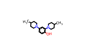 CC1CCN(c2ccc(O)c(N3CCC(C)CC3)c2)CC1